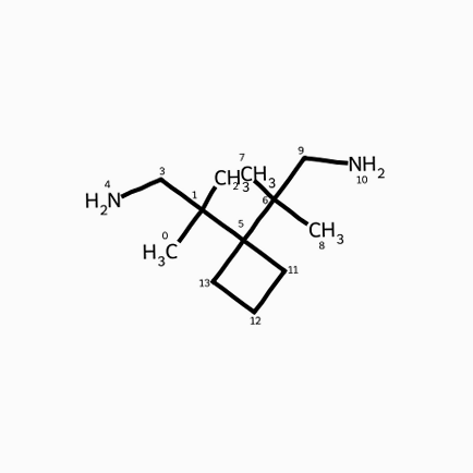 CC(C)(CN)C1(C(C)(C)CN)CCC1